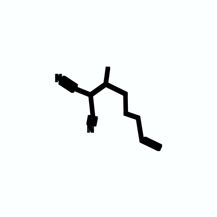 C=CCCCC(C)C(C#N)C#N